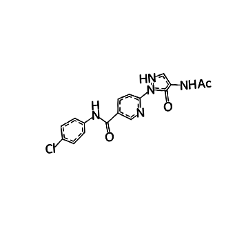 CC(=O)Nc1c[nH]n(-c2ccc(C(=O)Nc3ccc(Cl)cc3)cn2)c1=O